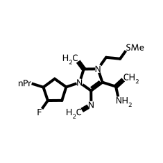 C=NC1=C(C(=C)N)N(CCSC)C(=C)N1C1CC(F)C(CCC)C1